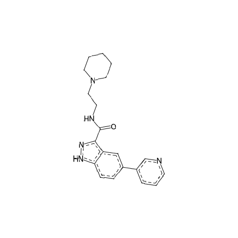 O=C(NCCN1CCCCC1)c1n[nH]c2ccc(-c3cccnc3)cc12